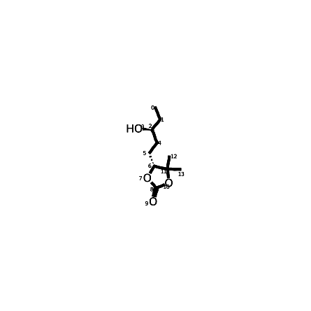 CC[C@H](O)CC[C@H]1OC(=O)OC1(C)C